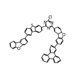 Clc1nc(C2=CC3c4cc(-c5ccc6c7ccccc7c7ccccc7c6c5)ccc4OC3C=C2)nc(-c2ccc3c(c2)sc2ccc(-c4ccc5oc6ccccc6c5c4)cc23)n1